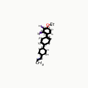 C/C=C/C1CCC(C2CC=C(c3ccc(OCC)c(I)c3I)CC2)CC1